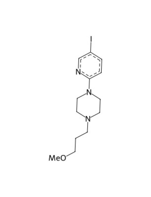 COCCCN1CCN(c2ccc(I)cn2)CC1